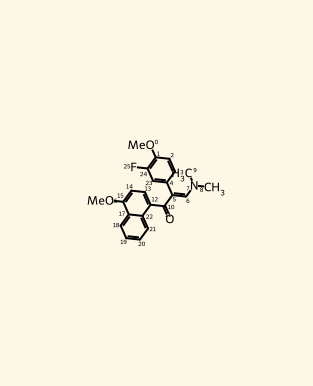 COc1ccc(/C(=C\N(C)C)C(=O)c2ccc(OC)c3ccccc23)cc1F